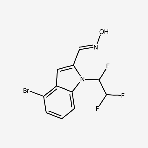 ON=Cc1cc2c(Br)cccc2n1C(F)C(F)F